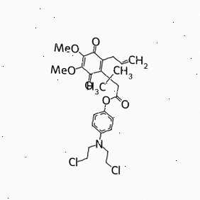 C=CCC1=C(C(C)(C)CC(=O)Oc2ccc(N(CCCl)CCCl)cc2)C(=O)C(OC)=C(OC)C1=O